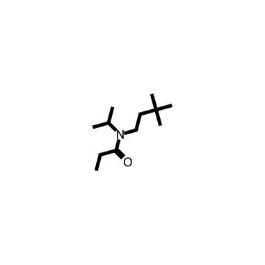 CCC(=O)N(CCC(C)(C)C)C(C)C